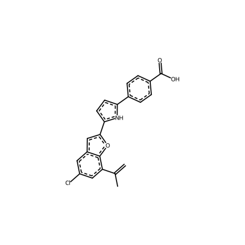 C=C(C)c1cc(Cl)cc2cc(-c3ccc(-c4ccc(C(=O)O)cc4)[nH]3)oc12